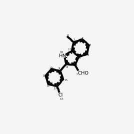 Cc1cccc2c(C=O)c(-c3cccc(Cl)c3)[nH]c12